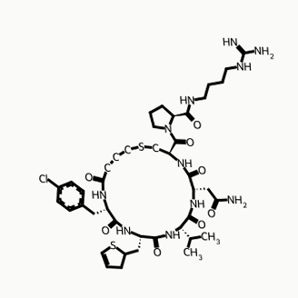 CC(C)[C@@H]1NC(=O)[C@H](CC2CC=CS2)NC(=O)[C@H](Cc2ccc(Cl)cc2)NC(=O)CCCSC[C@@H](C(=O)N2CCC[C@H]2C(=O)NCCCCNC(=N)N)NC(=O)[C@H](CC(N)=O)NC1=O